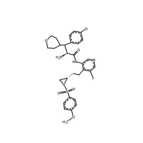 COc1ccc(S(=O)(=O)N2C[C@@H]2CCc2c(F)cncc2NC(=O)[C@@H](N)C(c2ccc(Cl)cc2)C2CCOCC2)cc1